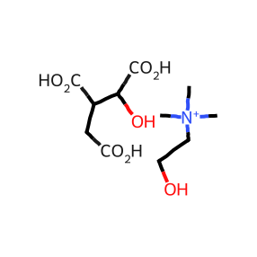 C[N+](C)(C)CCO.O=C(O)CC(C(=O)O)C(O)C(=O)O